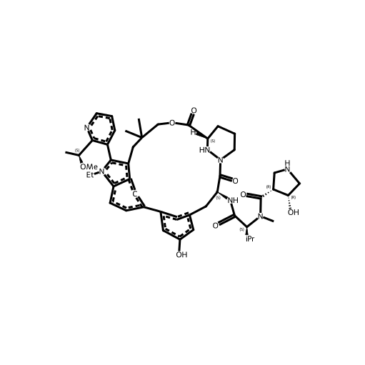 CCn1c(-c2cccnc2[C@H](C)OC)c2c3cc(ccc31)-c1cc(O)cc(c1)C[C@H](NC(=O)[C@H](C(C)C)N(C)C(=O)[C@@H]1CNC[C@@H]1O)C(=O)N1CCC[C@H](N1)C(=O)OCC(C)(C)C2